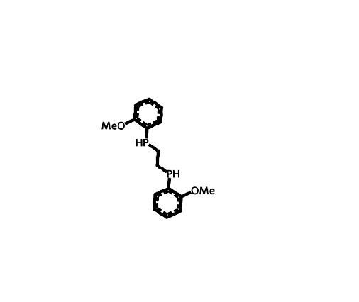 COc1ccccc1PCCPc1ccccc1OC